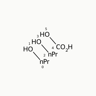 CCCO.CCCO.O=C(O)O